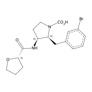 O=C(N[C@H]1CCN(C(=O)O)[C@H]1Cc1cccc(Br)c1)[C@@H]1CCCO1